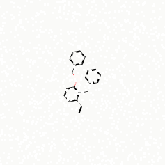 C=Cc1cccc(OCc2ccccc2)c1Cc1ccccc1